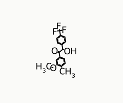 COc1cc(C(=O)C(O)c2ccc(C(F)(F)F)cc2)ccc1C